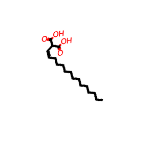 CCCCCCCCCCCCC/C=C\C(C(=O)O)C(=O)O